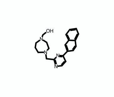 OCN1CCCN(Cc2nccc(-c3ccc4ccccc4c3)n2)CC1